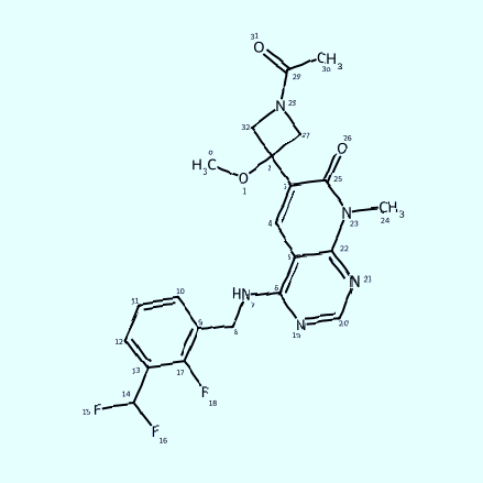 COC1(c2cc3c(NCc4cccc(C(F)F)c4F)ncnc3n(C)c2=O)CN(C(C)=O)C1